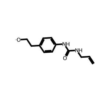 C=CCNC(=O)Nc1ccc(CC[O])cc1